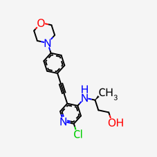 C[C@@H](CCO)Nc1cc(Cl)ncc1C#Cc1ccc(N2CCOCC2)cc1